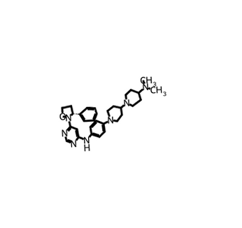 CN(C)C1CCN(C2CCN(c3ccc(Nc4cc(N5OCC[C@@H]5c5ccccc5)ncn4)cc3)CC2)CC1